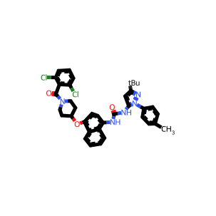 Cc1ccc(-n2nc(C(C)(C)C)cc2NC(=O)Nc2ccc(OC3CCN(C(=O)c4c(Cl)cccc4Cl)CC3)c3ccccc23)cc1